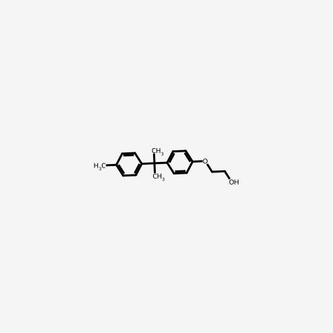 Cc1ccc(C(C)(C)c2ccc(OCCO)cc2)cc1